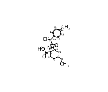 CCC1CCC(NC(=O)C(Cl)c2ccc(C)cc2)(C(=O)O)CC1